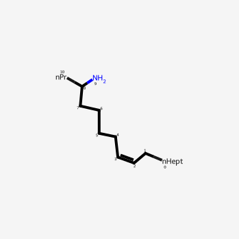 CCCCCCCC/C=C\CCCCC(N)CCC